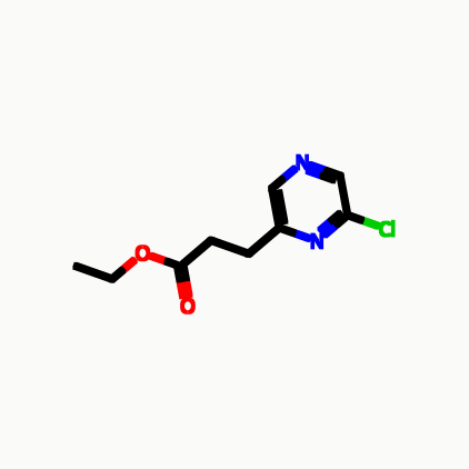 CCOC(=O)CCc1cncc(Cl)n1